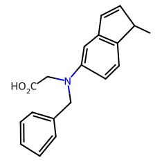 CC1C=Cc2cc(N(CC(=O)O)Cc3ccccc3)ccc21